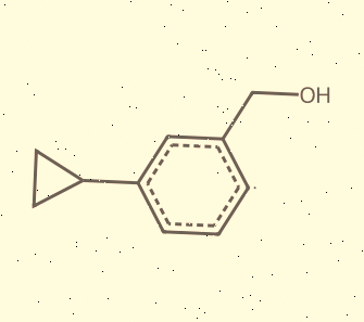 OCc1[c]ccc(C2CC2)c1